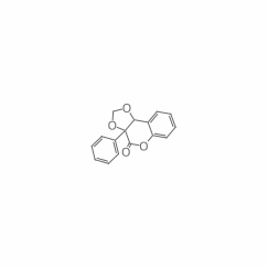 O=C1Oc2ccccc2C2OCOC12c1ccccc1